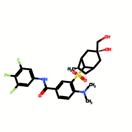 C[C@H]1CC2C[C@](O)(CO)CC1C2S(=O)(=O)c1cc(C(=O)Nc2cc(F)c(F)c(F)c2)ccc1N(C)C